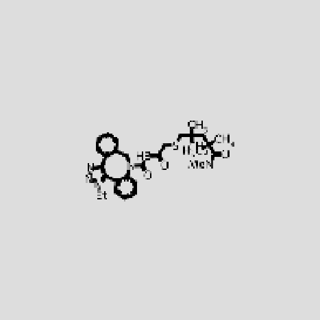 CCn1nnc2c1-c1ccccc1N(C(=O)BC(=O)CSCC(C)(C)CC(C)(C)C(=O)NC)Cc1ccccc1-2